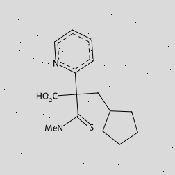 CNC(=S)C(CC1CCCC1)(C(=O)O)c1ccccn1